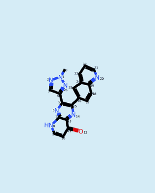 Cn1ncc(-c2nc3[nH]ccc(=O)c3nc2-c2ccc3ncccc3c2)n1